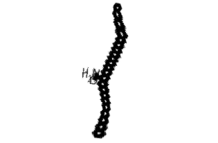 NC(=O)c1c2cc3cc4cc5cc6cc7cc8cc9cc%10ccccc%10cc9cc8cc7cc6cc5cc4cc3cc2cc2cc3cc4cc5cc6cc7cc8cc9cc%10cc%11cc%12cc%13ccccc%13cc%12cc%11cc%10cc9cc8cc7cc6cc5cc4cc3cc12